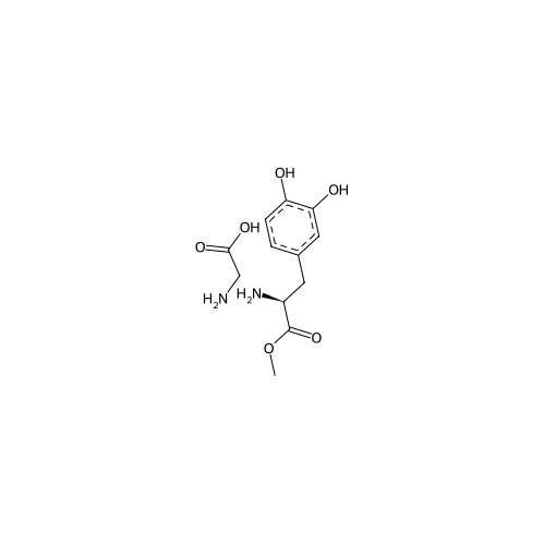 COC(=O)[C@@H](N)Cc1ccc(O)c(O)c1.NCC(=O)O